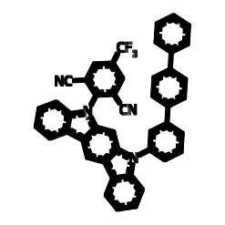 N#Cc1cc(C(F)(F)F)cc(C#N)c1-n1c2ccccc2c2cc3c4ccccc4n(-c4cccc(-c5ccc(-c6ccccc6)cc5)c4)c3cc21